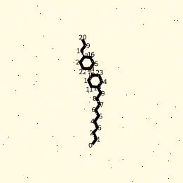 CCCCCCCCCCC1CCC([C@H]2CC[C@H](CCC)CC2)CC1